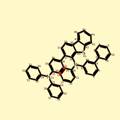 c1ccc(-c2cccc(N(c3ccccc3)c3c(-c4ccc(N(c5ccccc5)c5ccccc5)cc4)ccc4c3sc3ccccc34)c2)cc1